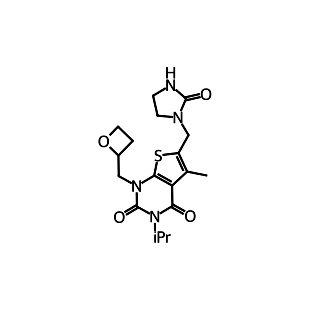 Cc1c(CN2CCNC2=O)sc2c1c(=O)n(C(C)C)c(=O)n2CC1CCO1